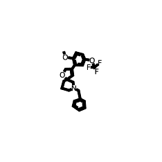 COc1ccc(OC(F)(F)F)cc1C1=CC2(CCCN(Cc3ccccc3)C2)OC1